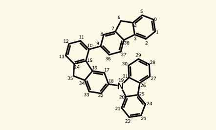 c1ccc2c(c1)Cc1cc(-c3cccc4c3-c3cc(-n5c6ccccc6c6ccccc65)ccc3C4)ccc1-2